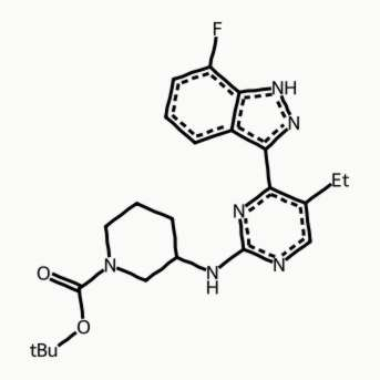 CCc1cnc(NC2CCCN(C(=O)OC(C)(C)C)C2)nc1-c1n[nH]c2c(F)cccc12